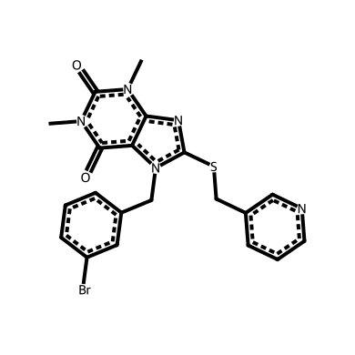 Cn1c(=O)c2c(nc(SCc3cccnc3)n2Cc2cccc(Br)c2)n(C)c1=O